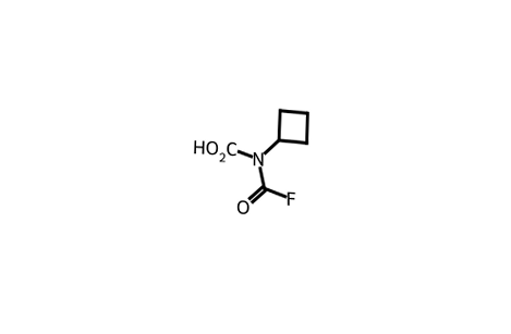 O=C(O)N(C(=O)F)C1CCC1